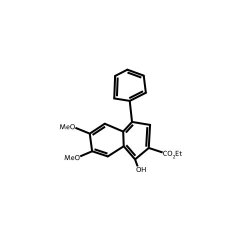 CCOC(=O)c1cc(-c2ccccc2)c2cc(OC)c(OC)cc2c1O